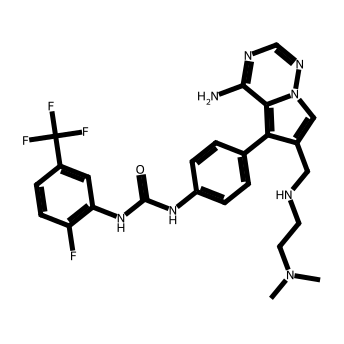 CN(C)CCNCc1cn2ncnc(N)c2c1-c1ccc(NC(=O)Nc2cc(C(F)(F)F)ccc2F)cc1